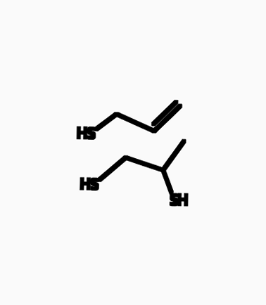 C=CCS.CC(S)CS